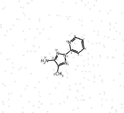 Cc1nn(-c2ccccn2)nc1N